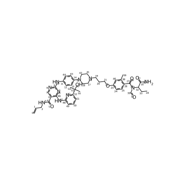 C=CCNC(=O)c1cnc(Nc2ccc(N3CCN(CCCOc4ccc(C(=O)N(C=O)C(CC)C(N)=O)c(C)c4)CC3)cc2)nc1Nc1cccc(C(C)(C)O)n1